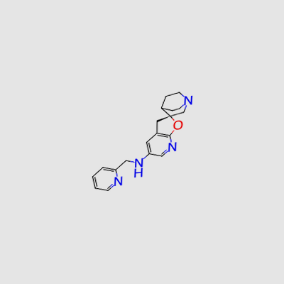 c1ccc(CNc2cnc3c(c2)C[C@@]2(CN4CCC2CC4)O3)nc1